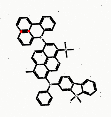 Cc1cc(N(c2ccccc2)c2ccc3c(c2)[Si](C)(C)c2ccccc2-3)c2ccc3c([Si](C)(C)C)cc(N(c4ccccc4)c4ccccc4-c4ccccc4)c4ccc1c2c43